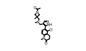 CC(=O)N1CC(C)(CN(C)Cc2cn[nH]c2-c2ccc3c(c2Cl)CCC(=O)N3C)C1